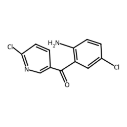 Nc1ccc(Cl)cc1C(=O)c1ccc(Cl)nc1